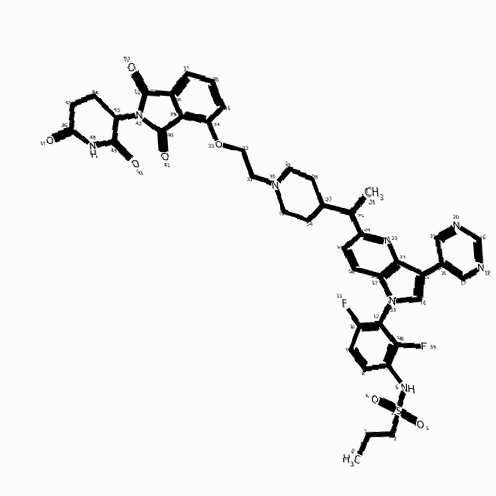 CCCS(=O)(=O)Nc1ccc(F)c(-n2cc(-c3cncnc3)c3nc(C(C)C4CCN(CCOc5cccc6c5C(=O)N(C5CCC(=O)NC5=O)C6=O)CC4)ccc32)c1F